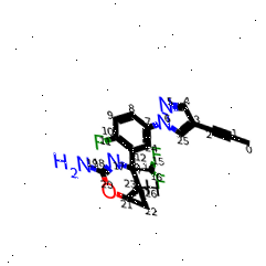 CC#Cc1cnn(-c2ccc(F)c([C@@]3(C(F)F)N=C(N)OC4C[C@@H]43)c2)c1